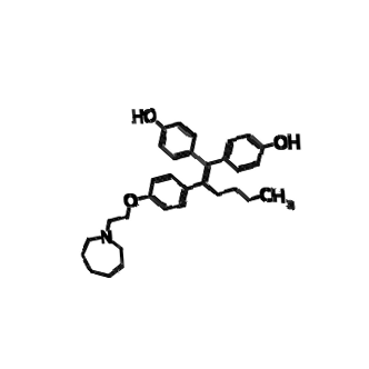 CCCCC(=C(c1ccc(O)cc1)c1ccc(O)cc1)c1ccc(OCCN2CCCCCC2)cc1